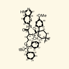 COc1ccc(C2(C(=O)N(C)C(CCO[Si](c3ccccc3)(c3ccccc3)C(C)(C)C)C(=O)Nc3ccc4[nH]ncc4n3)CCC(F)(F)CC2)cc1